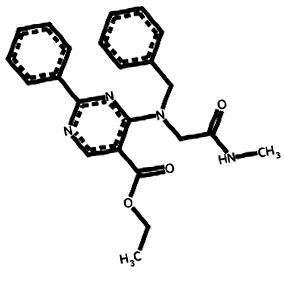 CCOC(=O)c1cnc(-c2ccccc2)nc1N(CC(=O)NC)Cc1ccccc1